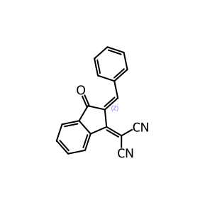 N#CC(C#N)=C1/C(=C/c2ccccc2)C(=O)c2ccccc21